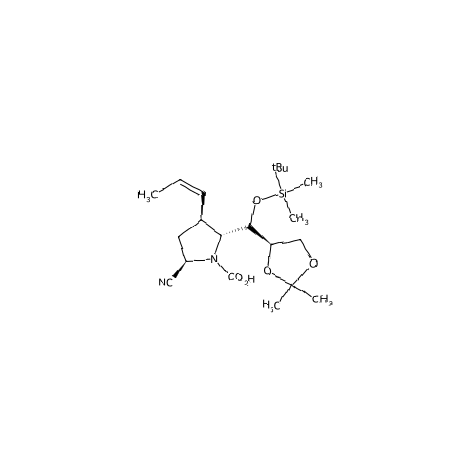 C/C=C\[C@@H]1C[C@H](C#N)N(C(=O)O)[C@H]1C(O[Si](C)(C)C(C)(C)C)[C@H]1COC(C)(C)O1